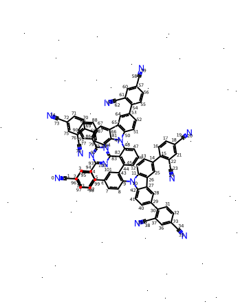 N#Cc1ccc(-c2ccc(-n3c4ccc(-c5ccc(C#N)cc5C#N)cc4c4cc(-c5ccc(C#N)cc5C#N)ccc43)c(-c3cccc(-n4c5ccc(-c6ccc(C#N)cc6C#N)cc5c5cc(-c6ccc(C#N)cc6C#N)ccc54)c3-c3nc(-c4ccccc4)nc(-c4ccccc4)n3)c2)cc1